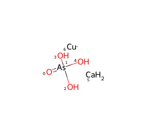 O=[As](O)(O)O.[CaH2].[Cu]